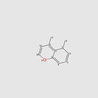 CC1=C2C(=CC=CC2C)OC=C1